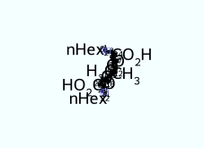 CCCCCC/C=C/CC(CC(=O)OCC(C)(C)COC(=O)CC(C/C=C/CCCCCC)C(=O)O)C(=O)O